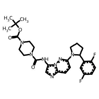 CC(C)(C)OC(=O)N1CCN(C(=O)Nc2cnc3ccc(N4CCCC4c4cc(F)ccc4F)nn23)CC1